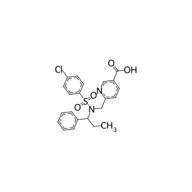 CCC(c1ccccc1)N(Cc1ccc(C(=O)O)cn1)S(=O)(=O)c1ccc(Cl)cc1